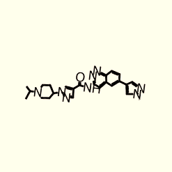 CC(C)N1CCC(n2cc(C(=O)Nc3cc4cc(-c5cnn(C)c5)ccc4nn3)cn2)CC1